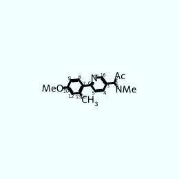 CNC(C(C)=O)c1ccc(-c2ccc(OC)cc2C)nc1